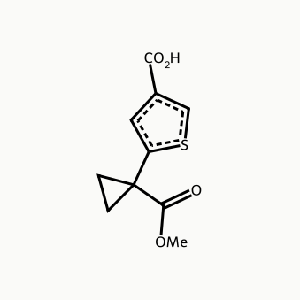 COC(=O)C1(c2cc(C(=O)O)cs2)CC1